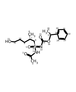 CC(=O)N[S@@](=O)(C[C@@H](C)CCCO)=NC(=O)O[C@@H](C)c1ccccc1